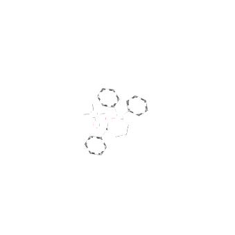 C[Si](C)(C)OC1(c2ccccc2)CCC[Si](c2ccccc2)(c2ccccc2)O1